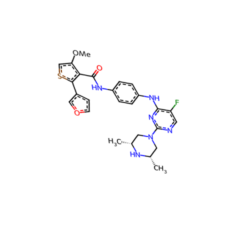 COc1csc(-c2ccoc2)c1C(=O)Nc1ccc(Nc2nc(N3C[C@@H](C)N[C@@H](C)C3)ncc2F)cc1